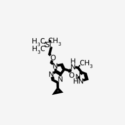 C[C@H](NC(=O)c1cn(COCC[Si](C)(C)C)c2ncc(C3CC3)nc12)c1cc[nH]n1